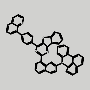 c1ccc2c(c1)-c1cccc3cccc(c13)N2c1ccc2cccc(-c3nc(-c4ccc(-c5cccc6cccnc56)cc4)c4sc5ccccc5c4n3)c2c1